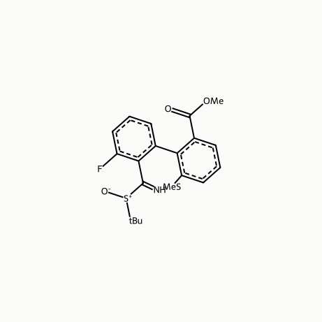 COC(=O)c1cccc(SC)c1-c1cccc(F)c1C(=N)[S+]([O-])C(C)(C)C